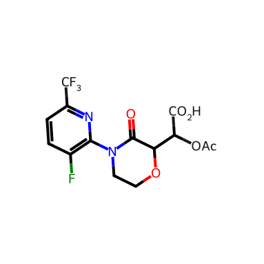 CC(=O)OC(C(=O)O)C1OCCN(c2nc(C(F)(F)F)ccc2F)C1=O